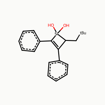 CC(C)(C)CC1C(c2ccccc2)=C(c2ccccc2)[Si]1(O)O